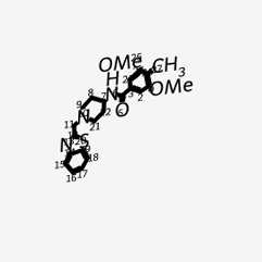 COc1cc(C(=O)NC2CCN(Cc3nc4ccccc4s3)CC2)cc(OC)c1C